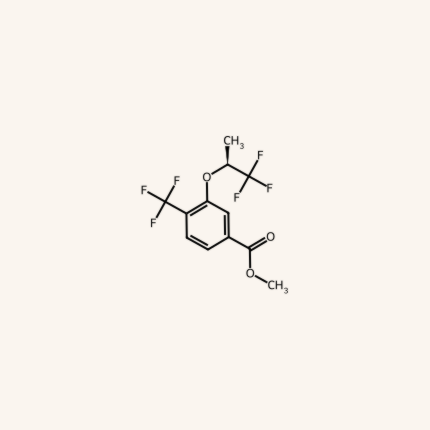 COC(=O)c1ccc(C(F)(F)F)c(O[C@@H](C)C(F)(F)F)c1